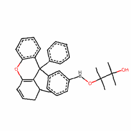 CC1CC=CC2=C1C(c1ccccc1)(c1cccc(BOC(C)(C)C(C)(C)O)c1)c1ccccc1O2